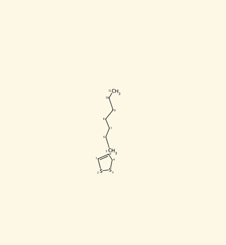 C1=CSSC1.CCCCCCC